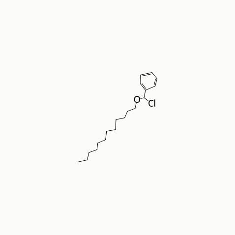 CCCCCCCCCCCCOC(Cl)c1ccccc1